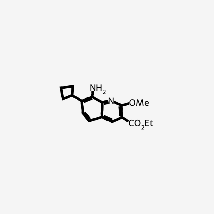 CCOC(=O)c1cc2ccc(C3CCC3)c(N)c2nc1OC